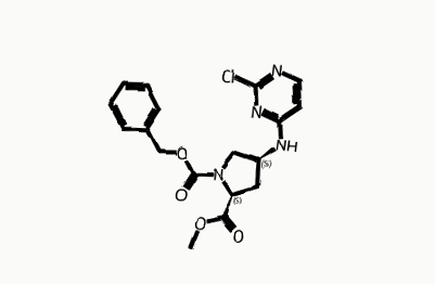 COC(=O)[C@@H]1C[C@H](Nc2ccnc(Cl)n2)CN1C(=O)OCc1ccccc1